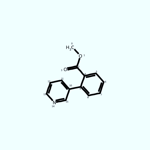 COC(=O)c1ccccc1-c1cccnc1